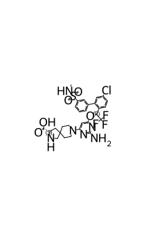 CNS(=O)(=O)c1cccc(-c2cc(Cl)ccc2[C@@H](Oc2cc(N3CCC4(CC3)CN[C@H](C(=O)O)C4)nc(N)n2)C(F)(F)F)c1